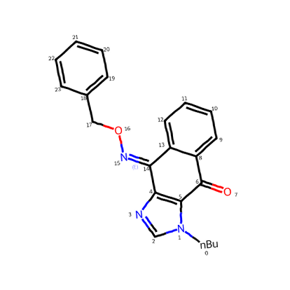 CCCCn1cnc2c1C(=O)c1ccccc1/C2=N\OCc1ccccc1